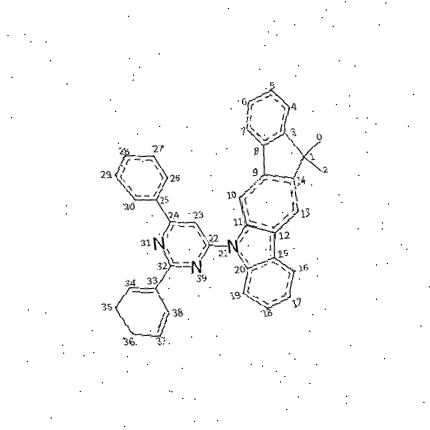 CC1(C)c2ccccc2-c2cc3c(cc21)c1ccccc1n3-c1cc(-c2ccccc2)nc(C2=CCCC=C2)n1